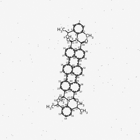 Cc1cccc(C(C)C)c1N1C(=O)c2ccc3c4ccc5c6ccc7c8c(ccc(c9ccc(c%10ccc(c2c3%10)C1=O)c4c59)c86)C(=O)N(c1c(C(C)C)cccc1C(C)C)C7=O